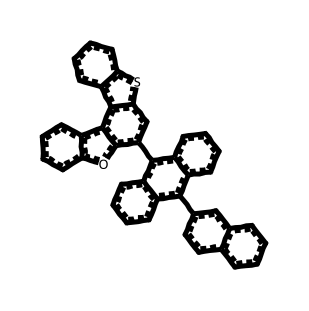 c1ccc2cc(-c3c4ccccc4c(-c4cc5sc6ccccc6c5c5c4oc4ccccc45)c4ccccc34)ccc2c1